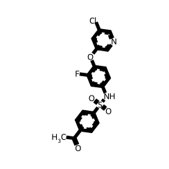 CC(=O)c1ccc(S(=O)(=O)Nc2ccc(Oc3cncc(Cl)c3)c(F)c2)cc1